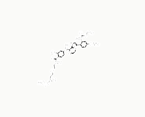 CCc1cc(Nc2nccn3c(-c4ccc(OC)cc4NC(=O)OC(C)(C)C)cnc23)ccc1C(=O)NCCOCCNC(=O)O